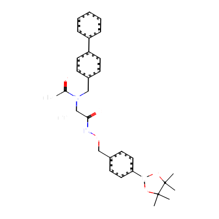 CCCCC(=O)N(Cc1ccc(-c2ccccc2)cc1)[C@H](C(=O)NOCc1ccc(B2OC(C)(C)C(C)(C)O2)cc1)C(C)C